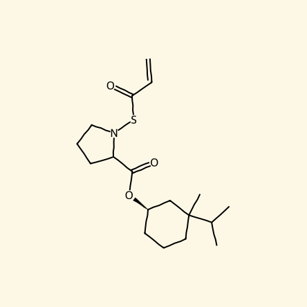 C=CC(=O)SN1CCCC1C(=O)O[C@@H]1CCCC(C)(C(C)C)C1